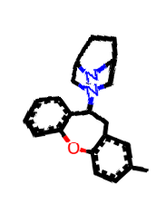 Cc1ccc2c(c1)CC(N1CC3CCC(C1)N3C)c1ccccc1O2